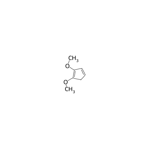 COC1=C(OC)CC=C1